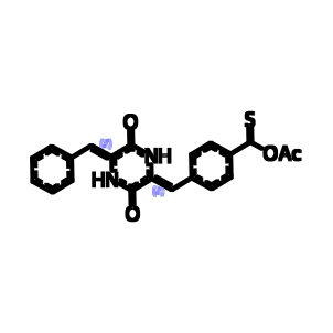 CC(=O)OC(=S)c1ccc(/C=c2\[nH]c(=O)/c(=C/c3ccccc3)[nH]c2=O)cc1